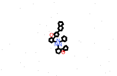 C1=C(c2nc(-c3ccccc3)nc(-c3cccc4oc5cc(-c6ccc7ccccc7c6)ccc5c34)n2)c2c(oc3ccccc23)CC1